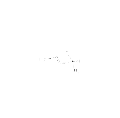 C/C=C/C(C)(C)[NH]